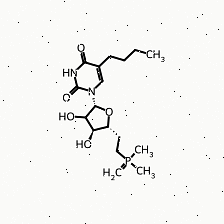 C=P(C)(C)CC[C@H]1O[C@@H](n2cc(CCCC)c(=O)[nH]c2=O)C(O)[C@@H]1O